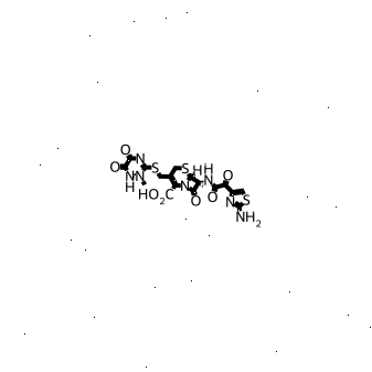 Cn1[nH]c(=O)c(=O)nc1SCC1=C(C(=O)O)N2C(=O)[C@@H](NC(=O)C(=O)c3csc(N)n3)[C@H]2SC1